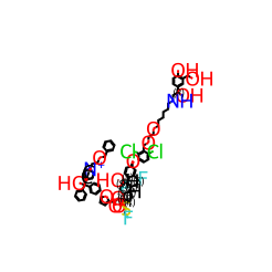 C[C@@H]1C[C@H]2[C@@H]3C[C@H](F)C4=CC(=O)C=C[C@]4(C)[C@@]3(F)[C@@H](O)C[C@]2(C)[C@@]1(OC(=O)c1ccco1)C(=O)SCF.OC(c1ccccc1)(c1ccccc1)C12CC[N+](CCOCc3ccccc3)(CC1)CC2.OCc1cc([C@@H](O)CNCCCCCCOCCOCc2c(Cl)cccc2Cl)ccc1O